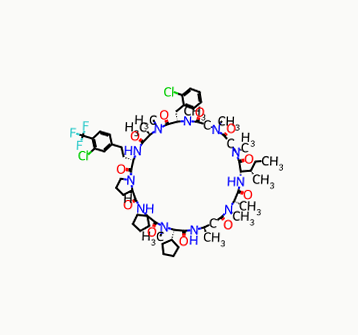 CC[C@H](C)[C@@H]1NC(=O)[C@H](C)N(C)C(=O)C[C@@H](C)NC(=O)[C@H](C2CCCC2)N(C)C(=O)C2(CCCC2)NC(=O)[C@@H]2CCCN2C(=O)[C@H](CCc2ccc(C(F)(F)F)c(Cl)c2)NC(=O)[C@@H](C)N(C)C(=O)[C@H](Cc2ccccc2Cl)N(C)C(=O)CN(C)C(=O)CN(C)C1=O